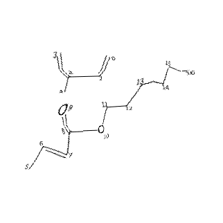 C=CC(=C)C.CC=CC(=O)OCCCCCC